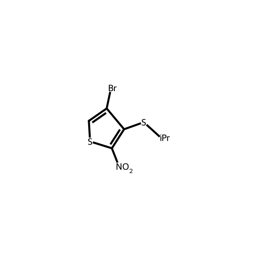 CC(C)Sc1c(Br)csc1[N+](=O)[O-]